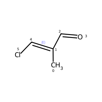 C/C(C=O)=C\Cl